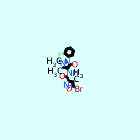 Cc1c(C(=O)Nc2c(C)n(C)n(-c3ccccc3F)c2=O)noc1Br